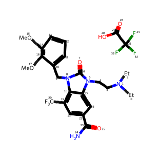 CCN(CC)CCn1c(=O)n(Cc2cccc(OC)c2OC)c2c(C(F)(F)F)cc(C(N)=O)cc21.O=C(O)C(F)(F)F